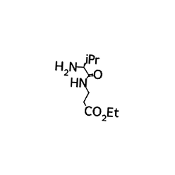 CCOC(=O)CCNC(=O)[C@@H](N)C(C)C